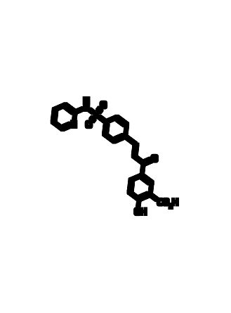 O=C(C=Cc1ccc(S(=O)(=O)Nc2ccccn2)cc1)c1ccc(O)c(C(=O)O)c1